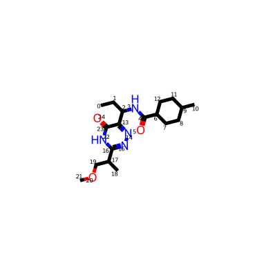 CCC(NC(=O)C1CCC(C)CC1)c1nnc(C(C)COC)[nH]c1=O